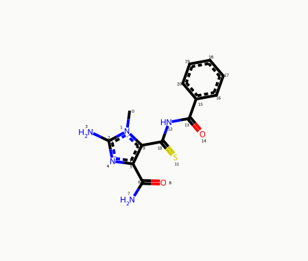 Cn1c(N)nc(C(N)=O)c1C(=S)NC(=O)c1ccccc1